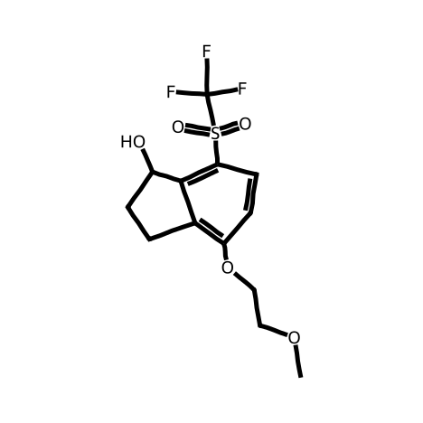 COCCOc1ccc(S(=O)(=O)C(F)(F)F)c2c1CCC2O